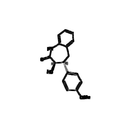 COc1ccc([C@H]2Cc3ccccc3NC(=O)[C@@H]2O)cc1